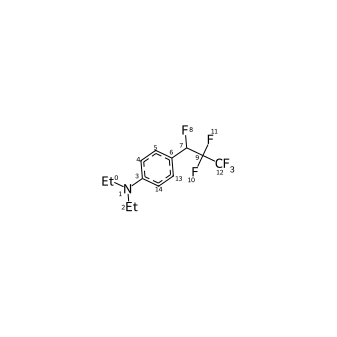 CCN(CC)c1ccc(C(F)C(F)(F)C(F)(F)F)cc1